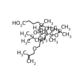 C=C(C)COCCC[Si](O[Si](C)(C)CCCC(=O)O)([Si](C)(C)O[Si](C)(C)C)[Si](C)(C)O[Si](C)(C)C